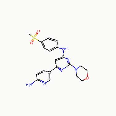 CS(=O)(=O)c1ccc(Nc2cc(-c3ccc(N)nc3)nc(N3CCOCC3)n2)cc1